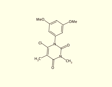 COc1cc(OC)cc(-n2c(Cl)c(C)c(=O)n(C)c2=O)c1